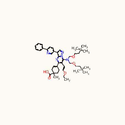 CCO/C=C/c1c(C2=CCC(C)(C(=O)O)CC2)nc2c(-c3ccc(-c4ccccc4)nc3)cnn2c1N(COCC[Si](C)(C)C)COCC[Si](C)(C)C